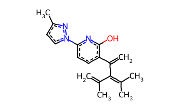 C=C(C)C(C(=C)c1ccc(-n2ccc(C)n2)nc1O)=C(C)C